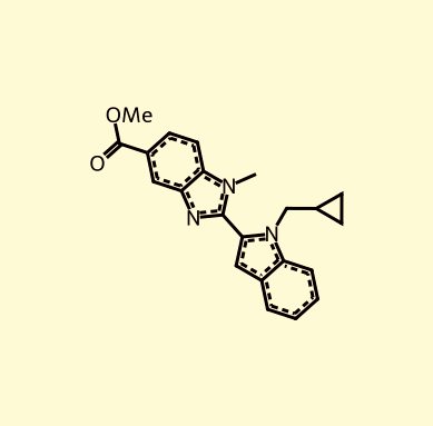 COC(=O)c1ccc2c(c1)nc(-c1cc3ccccc3n1CC1CC1)n2C